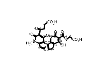 Cn1c(=O)c(C(=O)CCC(=O)O)c(On2c(=O)c(C(=O)NCC(=O)O)c(O)c3sccc32)c2sccc21